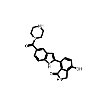 O=C1NCc2c(O)ccc(-c3cc4cc(C(=O)N5CCNCC5)ccc4[nH]3)c21